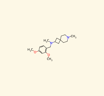 COc1ccc(CN(C)C2CC3(CCN(C)CC3)C2)c(OC)c1